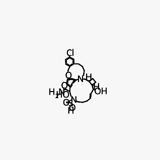 NC(=O)[C@]1(O)CN([SH](=O)=O)CCC/C=C/[C@H](O)[C@@H]2CC[C@H]2CN2CCCCc3cc(Cl)ccc3COc3ccc1cc32